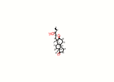 C=CC(O)CC[C@]1(C)C(=O)CCC2C3CCC(=O)[C@]3(C)CCC21